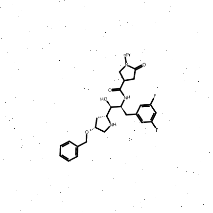 CCCN1CC(C(=O)N[C@@H](Cc2cc(F)cc(F)c2)[C@H](O)[C@H]2C[C@@H](OCc3ccccc3)CN2)CC1=O